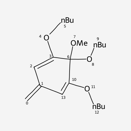 C=C1C=C(OCCCC)C(OC)(OCCCC)C(OCCCC)=C1